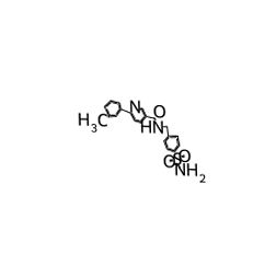 Cc1cccc(-c2ccc(C(=O)NCc3ccc(S(N)(=O)=O)cc3)cn2)c1